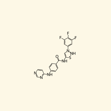 O=C(NC1=CN(c2cc(F)c(F)c(F)c2)NS1)c1ccc(Nc2ccncn2)cc1